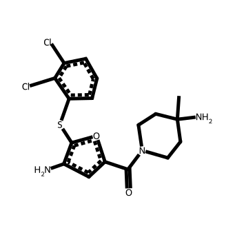 CC1(N)CCN(C(=O)c2cc(N)c(Sc3cccc(Cl)c3Cl)o2)CC1